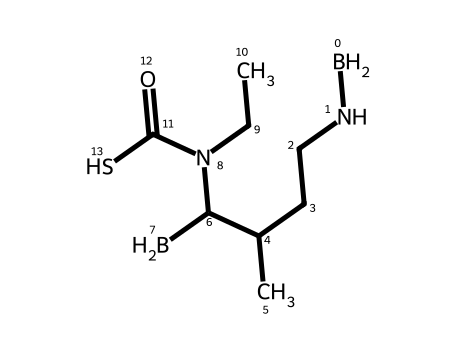 BNCCC(C)C(B)N(CC)C(=O)S